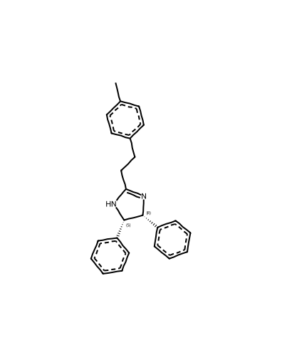 Cc1ccc(CCC2=N[C@H](c3ccccc3)[C@H](c3ccccc3)N2)cc1